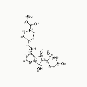 CC(C)(C)OC(=O)N1CCC(CNc2cccc3c2C(=O)N(C2CCC(=O)NC2=O)C3O)CC1